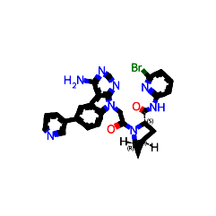 Nc1ncnc2c1c1cc(-c3cccnc3)ccc1n2CC(=O)N1[C@@H]2C[C@@H]2C[C@H]1C(=O)Nc1cccc(Br)n1